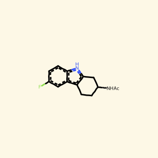 CC(=O)NC1CCc2c([nH]c3ccc(F)cc23)C1